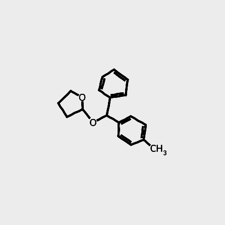 Cc1ccc(C(OC2CCCO2)c2ccccc2)cc1